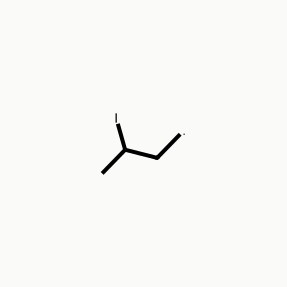 [CH2]CC(C)I